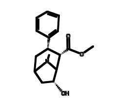 COC(=O)[C@@H]1C2[C@H](O)CC(C[C@@H]1c1ccccc1)N2C